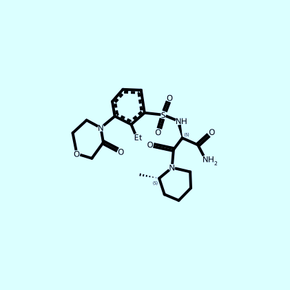 CCc1c(N2CCOCC2=O)cccc1S(=O)(=O)N[C@@H](C(N)=O)C(=O)N1CCCC[C@@H]1C